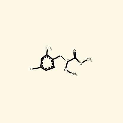 COC(=O)[C@@H](Cc1ccc(Cl)cc1C)ON